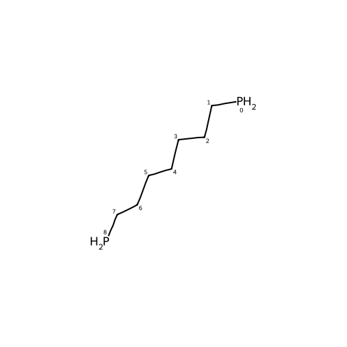 PCCCCCCCP